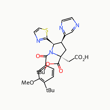 COc1cc(C(=O)N2[C@@H](c3nccs3)[C@@H](c3cnccn3)C[C@@]2(CC(=O)O)C(=O)OC(C)(C)C)ccc1C(C)(C)C